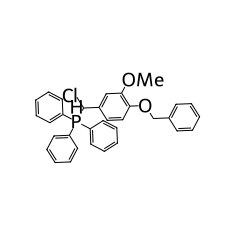 COc1cc(C(Cl)[PH](c2ccccc2)(c2ccccc2)c2ccccc2)ccc1OCc1ccccc1